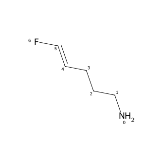 NCCCC=CF